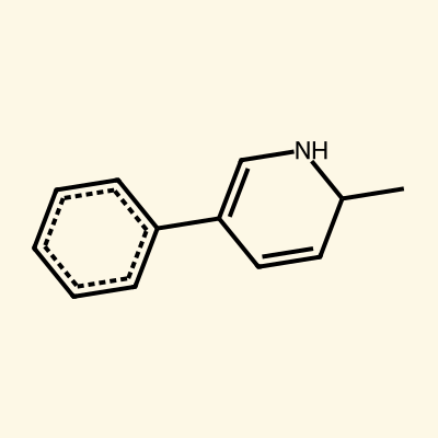 CC1C=CC(c2ccccc2)=CN1